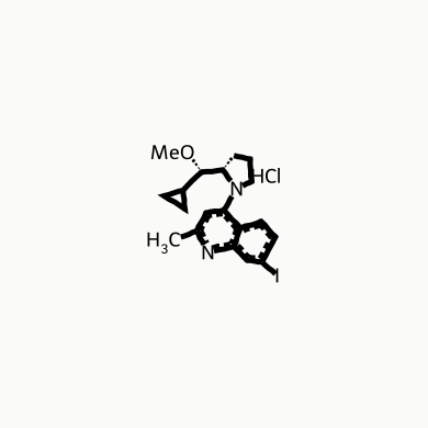 CO[C@@H](C1CC1)[C@@H]1CCCN1c1cc(C)nc2cc(I)ccc12.Cl